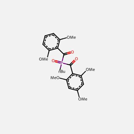 CCCCP(=O)(C(=O)c1c(OC)cccc1OC)C(=O)c1c(OC)cc(OC)cc1OC